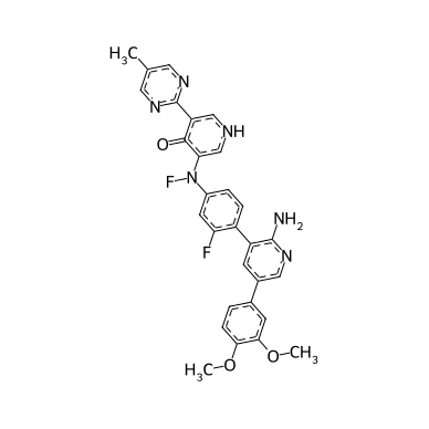 COc1ccc(-c2cnc(N)c(-c3ccc(N(F)c4c[nH]cc(-c5ncc(C)cn5)c4=O)cc3F)c2)cc1OC